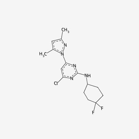 Cc1cc(C)n(-c2cc(Cl)nc(NC3CCC(F)(F)CC3)n2)n1